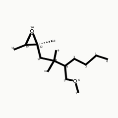 CCCCC(COC)C(C)(C)C[C@]1(C)OC1C